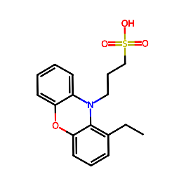 CCc1cccc2c1N(CCCS(=O)(=O)O)c1ccccc1O2